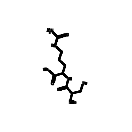 CNC(CC(C)C)C(=O)NC(CCCNC(N)=O)C(=O)C(C)(C)C